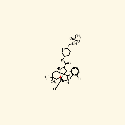 CC1(C)CCC2(CC1)N[C@@H](C(=O)N[C@@H]1CC[C@@H](CNS(C)(=O)=O)OC1)[C@H](c1ccnc(Cl)c1F)[C@]21C(=O)Nc2cc(Cl)ccc21